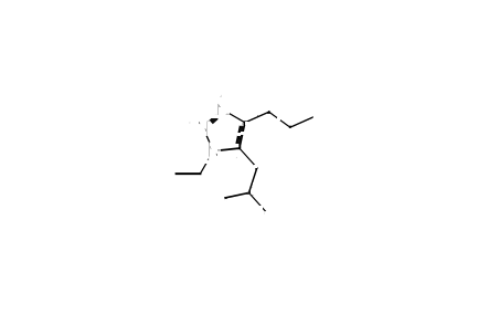 CCCc1nnn(CC)c1CC(C)C